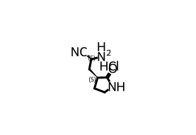 Cl.N#C[C@@H](N)C[C@@H]1CCNC1=O